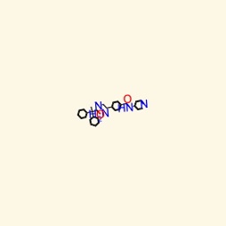 CN(CC(N)c1ccc(C(=O)Nc2ccncc2)cc1)C(=O)C(C)(c1ccccc1)c1ccccc1